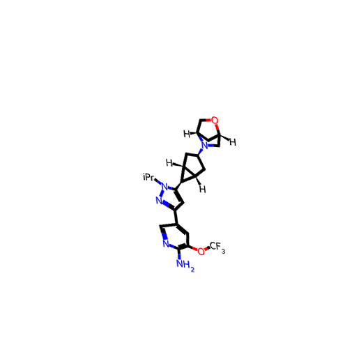 CC(C)n1nc(-c2cnc(N)c(OC(F)(F)F)c2)cc1[C@H]1[C@@H]2C[C@@H](N3C[C@@H]4C[C@H]3CO4)C[C@@H]21